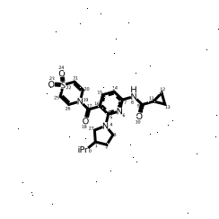 CC(C)C1CCN(c2nc(NC(=O)C3CC3)ccc2C(=O)N2C=CS(=O)(=O)C=C2)C1